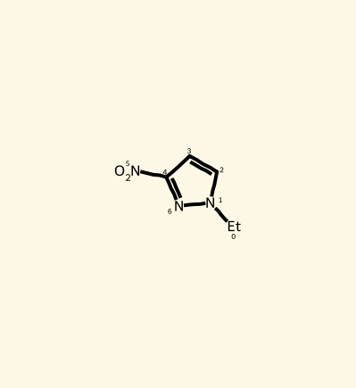 CCn1ccc([N+](=O)[O-])n1